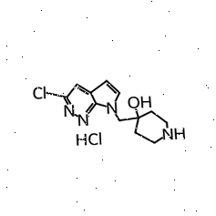 Cl.OC1(Cn2ccc3cc(Cl)nnc32)CCNCC1